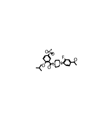 CC(=O)c1ccc(N2CCN(C(=O)c3cc(S(C)(=O)=O)ccc3OCC(C)C)CC2)c(F)c1